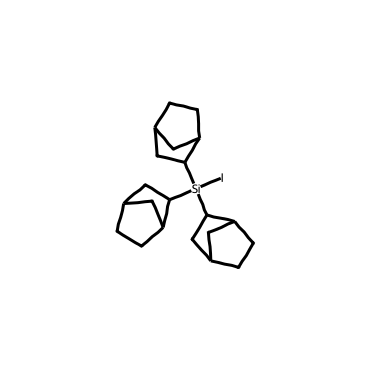 I[Si](C1CC2CCC1C2)(C1CC2CCC1C2)C1CC2CCC1C2